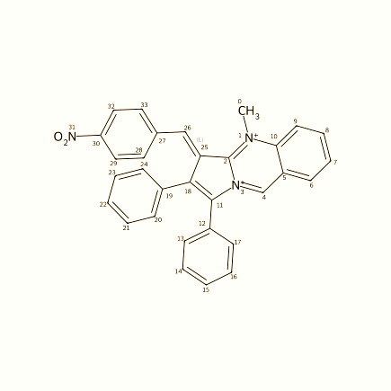 C[n+]1c2[n+](cc3ccccc31)C(c1ccccc1)=C(c1ccccc1)/C2=C\c1ccc([N+](=O)[O-])cc1